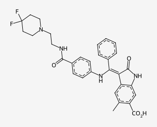 Cc1cc2c(cc1C(=O)O)NC(=O)C2=C(Nc1ccc(C(=O)NCCN2CCC(F)(F)CC2)cc1)c1ccccc1